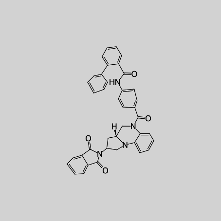 O=C(Nc1ccc(C(=O)N2C[C@H]3CC(N4C(=O)c5ccccc5C4=O)CN3c3ccccc32)cc1)c1ccccc1-c1ccccc1